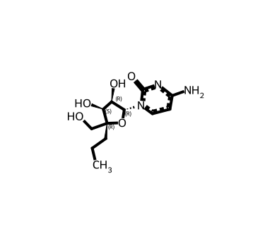 CCC[C@]1(CO)O[C@@H](n2ccc(N)nc2=O)[C@H](O)[C@@H]1O